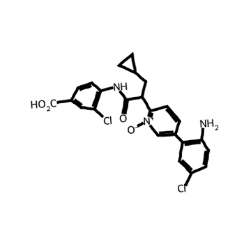 Nc1ccc(Cl)cc1-c1ccc(C(CC2CC2)C(=O)Nc2ccc(C(=O)O)cc2Cl)[n+]([O-])c1